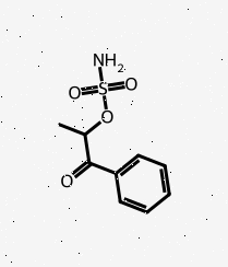 CC(OS(N)(=O)=O)C(=O)c1ccccc1